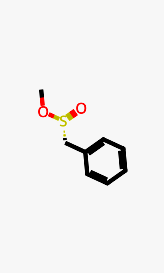 CO[S@](=O)Cc1ccccc1